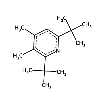 Cc1cc(C(C)(C)C)nc(C(C)(C)C)c1C